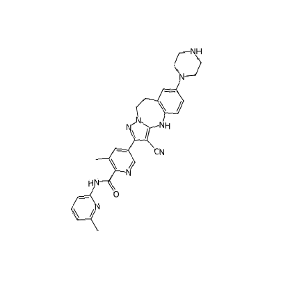 Cc1cccc(NC(=O)c2ncc(-c3nn4c(c3C#N)Nc3ccc(N5CCNCC5)cc3CC4)cc2C)n1